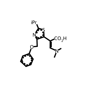 CC(C)c1nc(COc2ccccc2)c(C(=CN(C)C)C(=O)O)s1